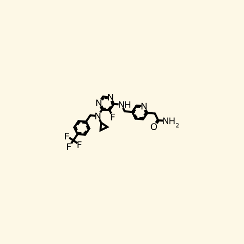 NC(=O)Cc1ccc(CNc2ncnc(N(Cc3ccc(C(F)(F)F)cc3)C3CC3)c2F)cn1